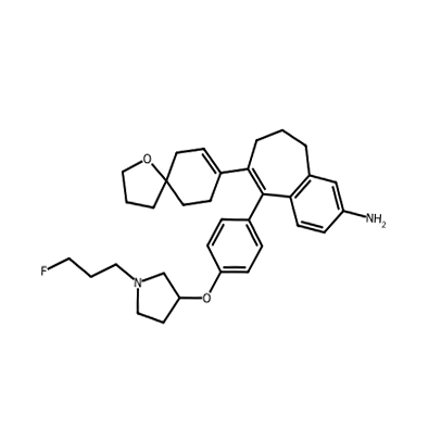 Nc1ccc2c(c1)CCCC(C1=CCC3(CCCO3)CC1)=C2c1ccc(OC2CCN(CCCF)C2)cc1